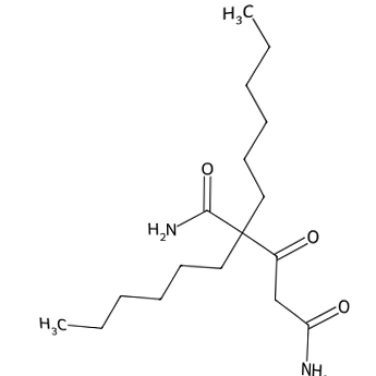 CCCCCCC(CCCCCC)(C(N)=O)C(=O)CC(N)=O